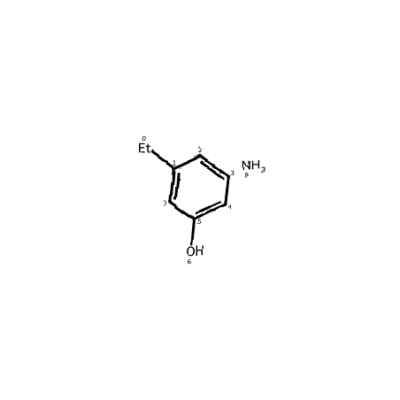 CCc1cccc(O)c1.N